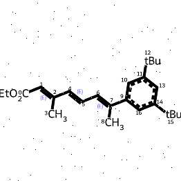 CCOC(=O)/C=C(C)/C=C/C=C(\C)c1cc(C(C)(C)C)cc(C(C)(C)C)c1